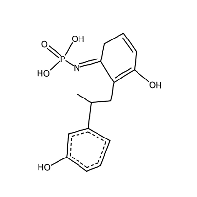 CC(CC1=C(O)C=CCC1=NP(=O)(O)O)c1cccc(O)c1